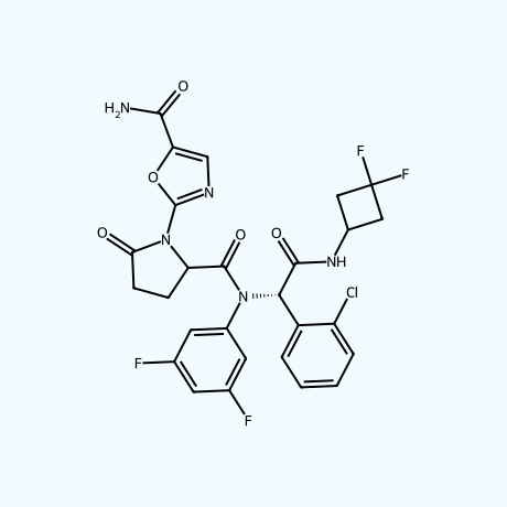 NC(=O)c1cnc(N2C(=O)CCC2C(=O)N(c2cc(F)cc(F)c2)[C@H](C(=O)NC2CC(F)(F)C2)c2ccccc2Cl)o1